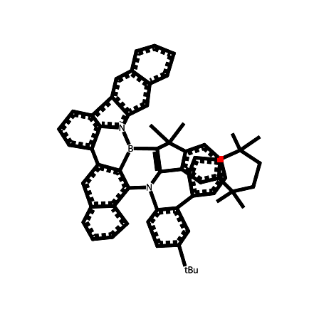 CC(C)(C)c1ccc(N2C3=C(B4c5c(cc6ccccc6c52)-c2cccc5c6cc7ccccc7cc6n4c25)C(C)(C)c2cc4c(cc23)C(C)(C)CCC4(C)C)c(-c2ccccc2)c1